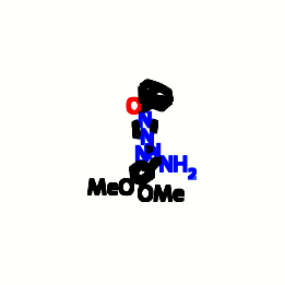 COc1cc2nc(N3CCN(C(=O)C45CC6CC(CC(C6)C4)C5)CC3)nc(N)c2cc1OC